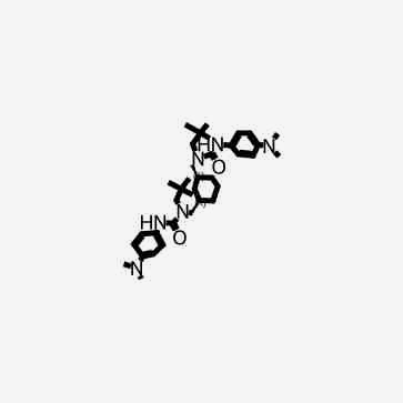 CN(C)c1ccc(NC(=O)N(C[C@@H]2CCC[C@H](CN(CC(C)(C)C)C(=O)Nc3ccc(N(C)C)cc3)C2)CC(C)(C)C)cc1